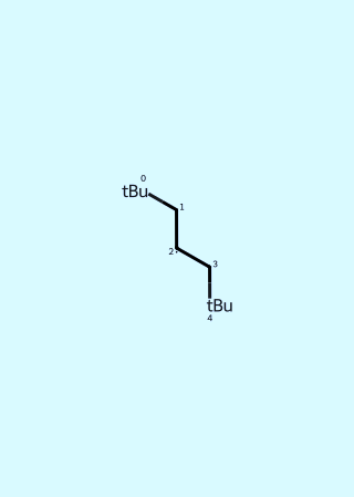 CC(C)(C)C[CH]CC(C)(C)C